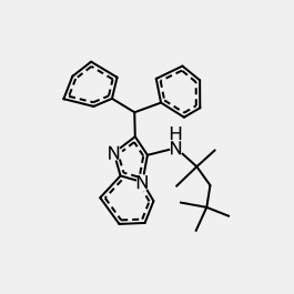 CC(C)(C)CC(C)(C)Nc1c(C(c2ccccc2)c2ccccc2)nc2ccccn12